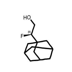 OC[C@H](F)C12CC3CC(CC(C3)C1)C2